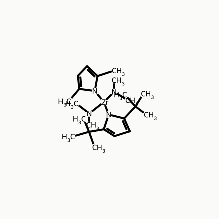 Cc1ccc(C)[n]1[Zr]([N](C)C)([N](C)C)[n]1c(C(C)(C)C)ccc1C(C)(C)C